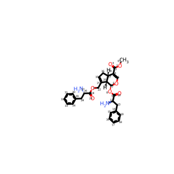 COC(=O)C1=CO[C@@H](OC(=O)C(N)Cc2ccccc2)[C@@H]2C(COC(=O)[C@@H](N)Cc3ccccc3)=CC[C@H]12